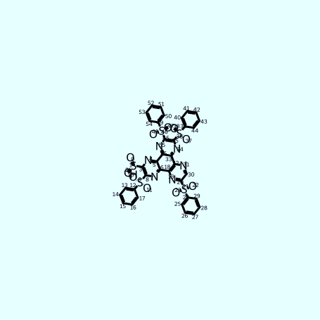 O=[SH](=O)c1nc2c(nc1S(=O)(=O)c1ccccc1)c1nc(S(=O)(=O)c3ccccc3)cnc1c1nc(S(=O)(=O)c3ccccc3)c(S(=O)(=O)c3ccccc3)nc21